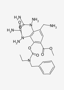 CCN(Cc1ccccc1)C(=O)Oc1c(C(=O)OC)cc(CN)c(N(N)C(N)=O)c1N(N)C(N)=O